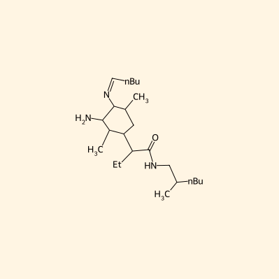 CCCC/C=N\C1C(C)CC(C(CC)C(=O)NCC(C)CCCC)C(C)C1N